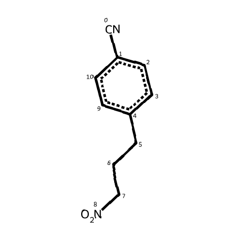 N#Cc1ccc(CCC[N+](=O)[O-])cc1